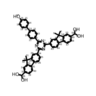 CC1(C)c2cc(-c3nc(-c4ccc(-c5ccc(O)cc5)cc4)nc(-c4ccc5c(c4)C(C)(C)c4cc(C(O)O)ccc4-5)n3)ccc2-c2ccc(C(O)O)cc21